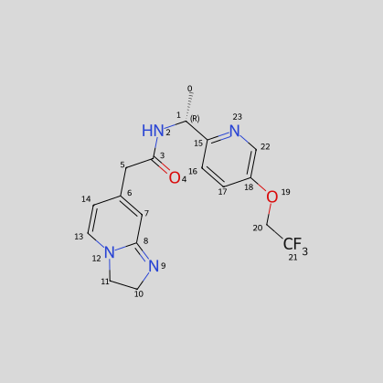 C[C@@H](NC(=O)CC1=CC2=NCCN2C=C1)c1ccc(OCC(F)(F)F)cn1